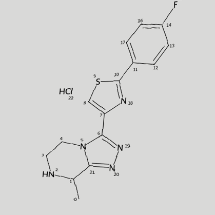 CC1NCCn2c(-c3csc(-c4ccc(F)cc4)n3)nnc21.Cl